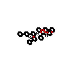 c1ccc(-c2ccc(-c3cccc(N(c4ccc(-c5ccc(-c6ccccc6)cc5-n5c6ccccc6c6ccccc65)cc4)c4ccccc4-c4cccc5c4oc4ccccc45)c3)cc2)cc1